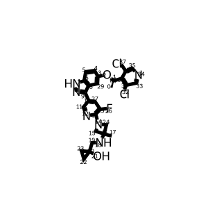 C[C@@H](Oc1ccc2[nH]nc(-c3cnc(N4CC(C)(NCC5(O)CC5)C4)c(F)c3)c2c1)c1c(Cl)cncc1Cl